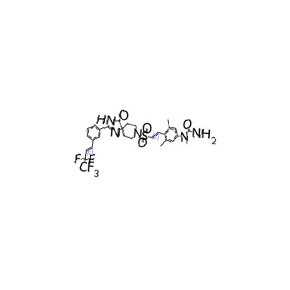 Cc1cc(N(C)C(N)=O)cc(C)c1/C=C/S(=O)(=O)N1CCC2(CC1)N=C(c1cccc(/C=C/C(F)(F)C(F)(F)F)c1)NC2=O